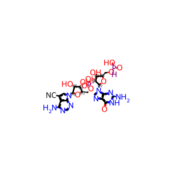 N#Cc1cn([C@@H]2O[C@H](COP(=O)(O)[C@@H]3[C@H](O)[C@@H](CO[PH](=O)O)O[C@H]3n3cnc4c(=O)[nH]c(N)nc43)[C@@H](O)[C@H]2O)c2ncnc(N)c12